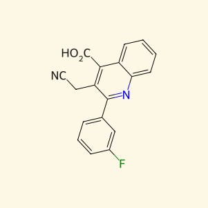 N#CCc1c(-c2cccc(F)c2)nc2ccccc2c1C(=O)O